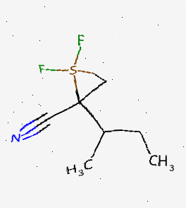 CCC(C)C1(C#N)CS1(F)F